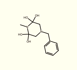 CN1C(O)(O)CN(Cc2ccccc2)CC1(O)O